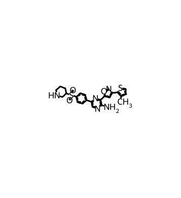 Cc1ccsc1-c1cc(-c2nc(-c3ccc(S(=O)(=O)C4CCCNC4)cc3)cnc2N)on1